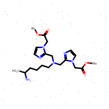 CC(C)(C)OC(=O)Cn1ccnc1CN(CCCCC(N)C(=O)O)Cc1nccn1CC(=O)OC(C)(C)C